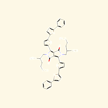 CCCCCCCCCCCCC(CCCCCCCCCC)CN1C(=O)C2=C(c3ccc(-c4ccc(-c5ccccc5)s4)s3)N(CC(CCCCCCCCCC)CCCCCCCCCCCC)C(=O)C2=C1c1ccc(-c2ccc(-c3ccccc3)s2)s1